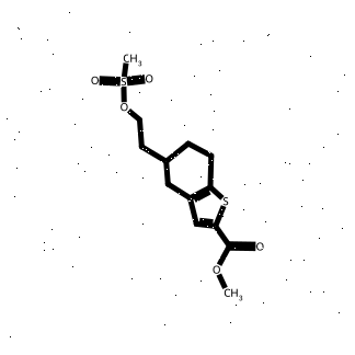 COC(=O)c1cc2c(s1)CCC(CCOS(C)(=O)=O)C2